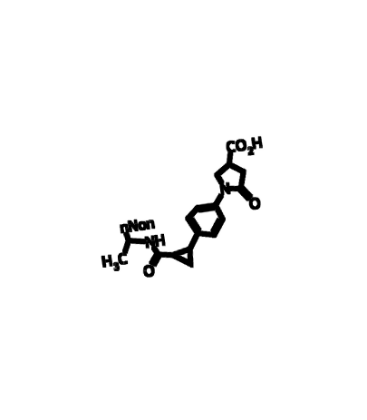 CCCCCCCCCC(C)NC(=O)C1CC1c1ccc(N2CC(C(=O)O)CC2=O)cc1